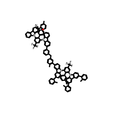 Cc1cccc(-c2ccc3c4ccccc4n(-c4cc(C(F)(F)F)cc(-n5c6ccccc6c6ccc(-c7cccc(Cc8ccc(C)c(-c9ccc%10c(c9)c9cc(-c%11ccccc%11C)ccc9n%10-c9cc(C(F)(F)F)cc(-n%10c%11ccc(-c%12ccccc%12C)cc%11c%11cc(-c%12ccccc%12C)ccc%11%10)c9-c9cccc(C#N)c9)c8)c7)cc65)c4-c4cccc(C#N)c4)c3c2)c1